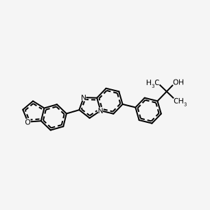 CC(C)(O)c1cccc(-c2ccc3nc(-c4ccc5occc5c4)cn3c2)c1